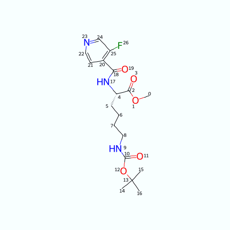 COC(=O)[C@H](CCCCNC(=O)OC(C)(C)C)NC(=O)c1ccncc1F